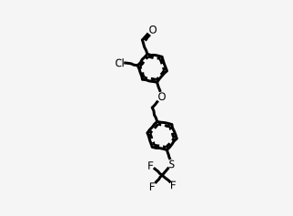 O=Cc1ccc(OCc2ccc(SC(F)(F)F)cc2)cc1Cl